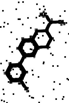 CN(C)C1CCc2cc(-c3cccc(Br)c3)ccc2C1